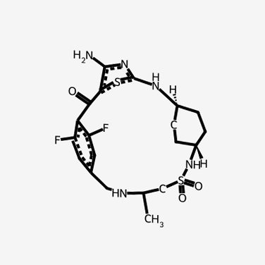 CC1CS(=O)(=O)N[C@H]2CC[C@@H](CC2)Nc2nc(N)c(s2)C(=O)c2c(F)cc(cc2F)CN1